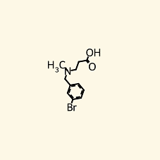 CN(CCC(=O)O)Cc1cccc(Br)c1